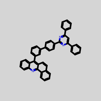 c1ccc(-c2cc(-c3ccccc3)nc(-c3ccc(-c4cccc(-c5c6ccccc6nc6c5ccc5ccccc56)c4)cc3)n2)cc1